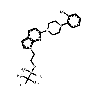 Cc1ccccc1N1CCN(c2ccc3ccn(CCO[Si](C)(C)C(C)(C)C)c3n2)CC1